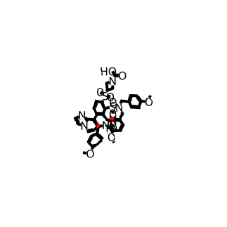 COc1ccc(CN(Cc2ccc(OC)cc2)S(=O)(=O)c2c(S(=O)(=O)C3CN(C(=O)O)C3)ccc(-c3cccn4ccnc34)c2-c2nnnn2Cc2ccc(OC)cc2)cc1